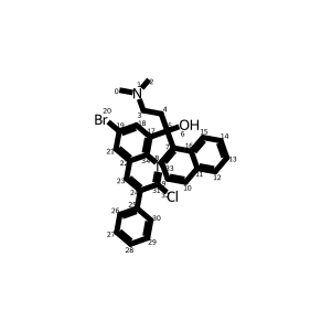 CN(C)CCC(O)(c1cccc2ccccc12)c1cc(Br)cc2cc(-c3ccccc3)c(Cl)nc12